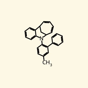 Cc1ccc(N2c3ccccc3C3C=CC=CC2C3)c(-c2ccccc2)c1